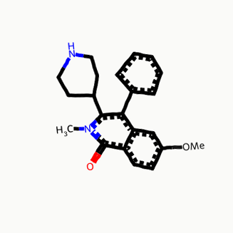 COc1ccc2c(=O)n(C)c(C3CCNCC3)c(-c3ccccc3)c2c1